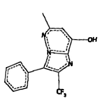 Cc1cc(O)c2nc(C(F)(F)F)c(-c3ccccc3)n2n1